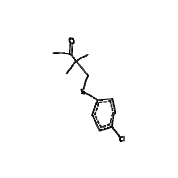 CC(=O)C(C)(C)CSc1ccc(Cl)cc1